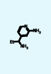 CCC(N)c1ccnc(N)c1